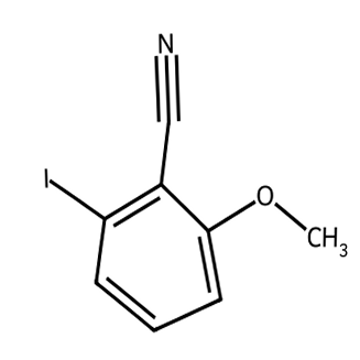 COc1cccc(I)c1C#N